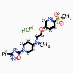 CC(C)c1noc(N2CCC(N(C)CCOc3ccc(S(C)(=O)=O)nc3)CC2)n1.Cl